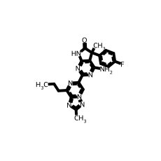 CCCc1nc(-c2nc(N)c3c(n2)NC(=O)C3(C)c2ccc(F)cc2)cn2nc(C)nc12